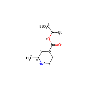 CCOC(=O)C(CC)OC(=O)C1CCNC(C)C1